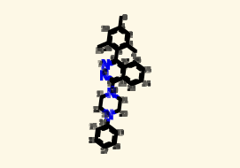 Cc1cc(C)c(-c2nnc(N3CCN(c4ccccc4)CC3)c3ccccc23)c(C)c1